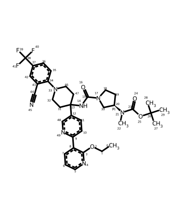 CCOc1ncccc1-c1ccc(C2(NC(=O)N3CC[C@@H](N(C)C(=O)OC(C)(C)C)C3)CCN(c3ccc(C(F)(F)F)cc3C#N)CC2)cn1